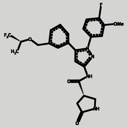 COc1cc(-n2nc(NC(=O)[C@@H]3CNC(=O)C3)cc2-c2cccc(CO[C@H](C)C(F)(F)F)c2)ccc1F